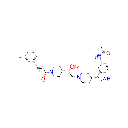 CC(=O)Nc1ccc2[nH]cc(C3CCN(CC(O)C4CCN(C(=O)/C=C/c5cccc(C)c5)CC4)CC3)c2c1